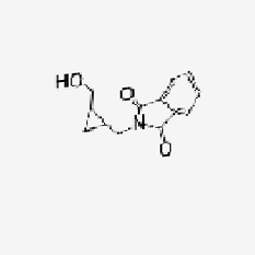 O=C1c2ccccc2C(=O)N1CC1CC1CO